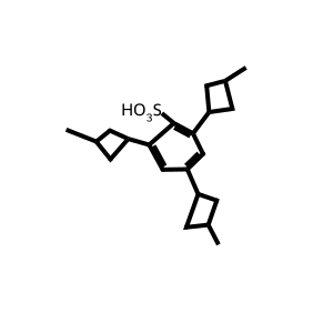 CC1CC(c2cc(C3CC(C)C3)c(S(=O)(=O)O)c(C3CC(C)C3)c2)C1